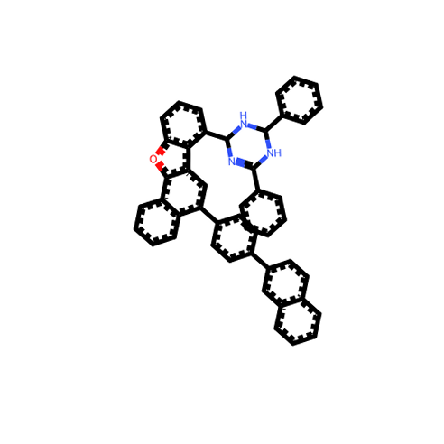 c1ccc(C2=NC(c3cccc4oc5c6ccccc6c(-c6ccc(-c7ccc8ccccc8c7)cc6)cc5c34)NC(c3ccccc3)N2)cc1